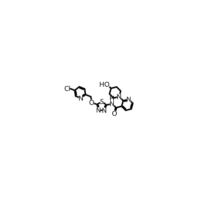 O=C(Nc1nnc(OCc2ccc(Cl)cn2)s1)c1cccnc1N1CCC(O)CC1